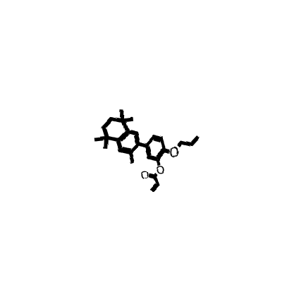 C=CC(=O)Oc1cc(-c2cc3c(cc2C)C(C)(C)CCC3(C)C)ccc1OCCC